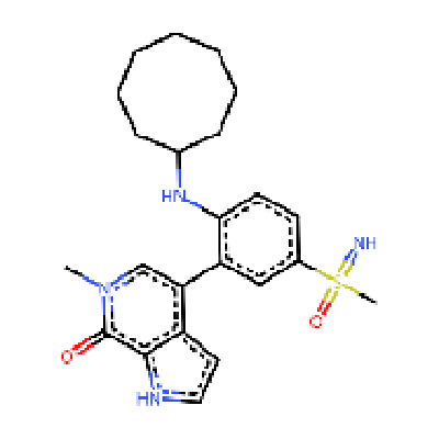 Cn1cc(-c2cc(S(C)(=N)=O)ccc2NC2CCCCCCC2)c2cc[nH]c2c1=O